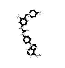 CNc1ncnc2c1ncn2-c1ccc(NC(=O)Nc2ccc(CN3CCC(N)CC3)c(C(F)(F)F)c2)cc1